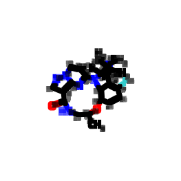 BC(B)(B)C(B)(B)N1c2ccn3ncc(c3n2)C(=O)NC[C@H](C)Oc2ccc(F)c(C#N)c21